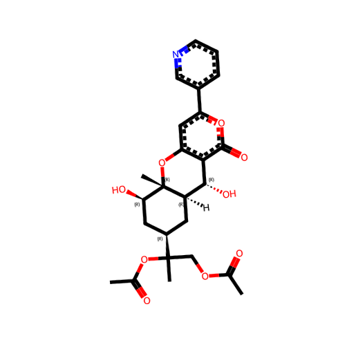 CC(=O)OCC(C)(OC(C)=O)[C@H]1C[C@@H](O)[C@]2(C)Oc3cc(-c4cccnc4)oc(=O)c3[C@H](O)[C@H]2C1